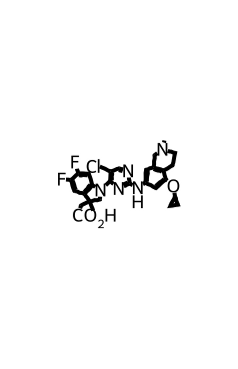 CN1CCc2c(cc(Nc3ncc(Cl)c(N4CC(C)(CC(=O)O)c5cc(F)c(F)cc54)n3)cc2OC2CC2)C1